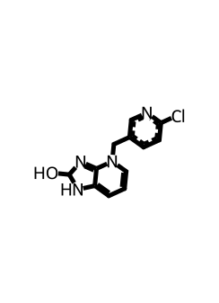 OC1N=C2C(=CC=CN2Cc2ccc(Cl)nc2)N1